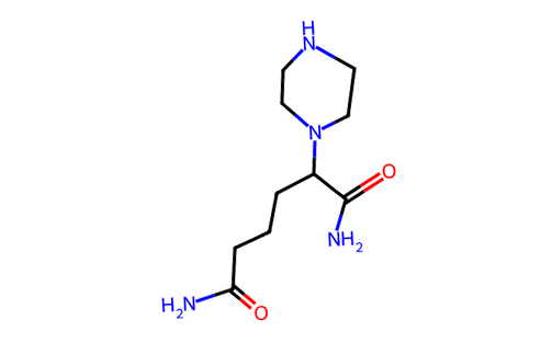 NC(=O)CCCC(C(N)=O)N1CCNCC1